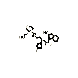 CN(C[C@@H](CCN1CC(N2CCOC[C@H]2CCO)C1)c1ccc(F)cc1)C(=O)c1cc(C#N)cc2c1CCCC2